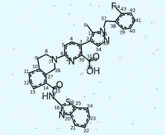 Cc1c(-c2ccc(N3CCc4cccc(C(=O)Nc5nc6ccccc6s5)c4C3)nc2C(=O)O)cnn1Cc1ccccc1F